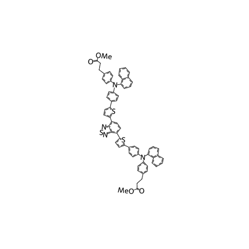 COC(=O)CCc1ccc(N(c2ccc(-c3ccc(-c4ccc(-c5ccc(-c6ccc(N(c7ccc(CCC(=O)OC)cc7)c7cccc8ccccc78)cc6)s5)c5nsnc45)s3)cc2)c2cccc3ccccc23)cc1